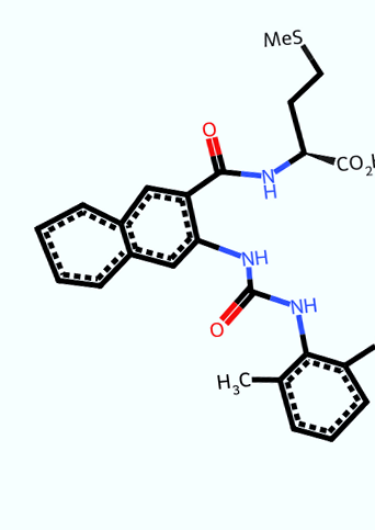 CSCC[C@H](NC(=O)c1cc2ccccc2cc1NC(=O)Nc1c(C)cccc1C)C(=O)O